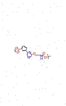 CC(C)(C)OC(=O)NCCOc1cncc(-c2cccc(C3OCCO3)c2)n1